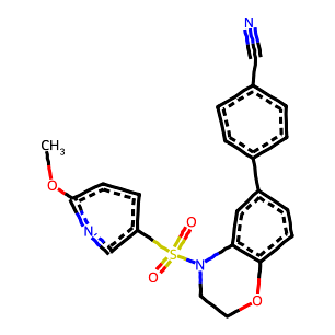 COc1ccc(S(=O)(=O)N2CCOc3ccc(-c4ccc(C#N)cc4)cc32)cn1